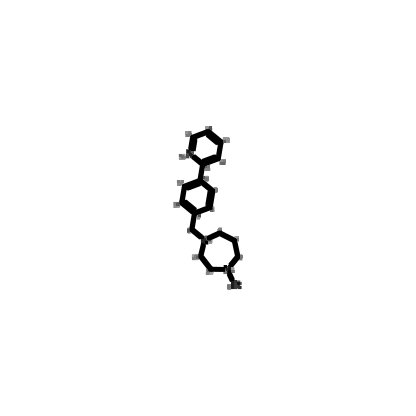 CCN1CCCN(Cc2ccc(-c3ccccn3)cc2)CC1